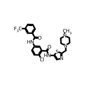 CN1CCN(Cc2ncc(NC(=O)c3cc(NC(=O)c4cccc(C(F)(F)F)c4)ccc3Cl)s2)CC1